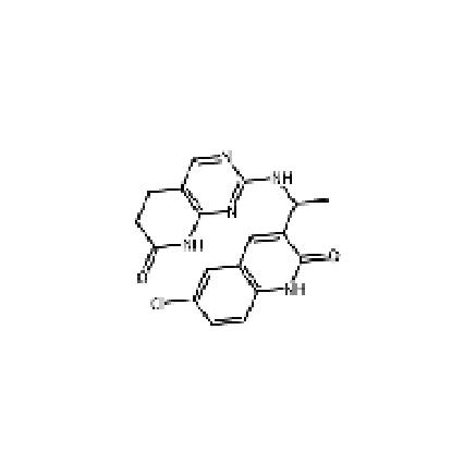 C[C@H](Nc1ncc2c(n1)NC(=O)CC2)c1cc2cc(Cl)ccc2[nH]c1=O